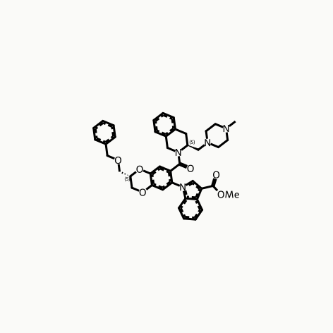 COC(=O)c1cn(-c2cc3c(cc2C(=O)N2Cc4ccccc4C[C@H]2CN2CCN(C)CC2)O[C@@H](COCc2ccccc2)CO3)c2ccccc12